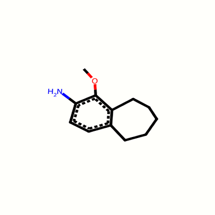 COc1c(N)ccc2c1CCCCC2